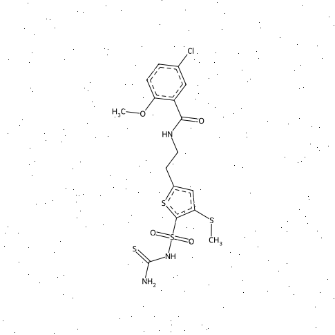 COc1ccc(Cl)cc1C(=O)NCCc1cc(SC)c(S(=O)(=O)NC(N)=S)s1